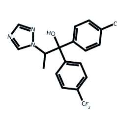 CC(n1cncn1)C(O)(c1ccc(Cl)cc1)c1ccc(C(F)(F)F)cc1